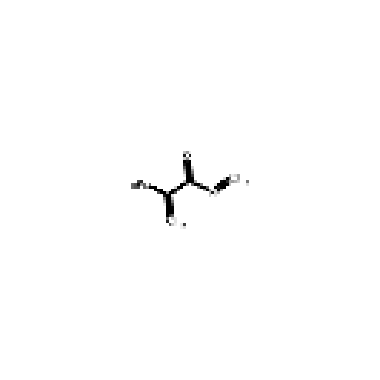 C=NC(=O)C(=C)CCC